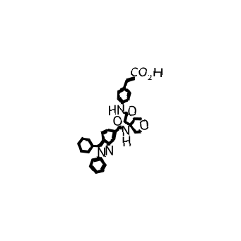 O=C(O)C=Cc1ccc(NC(=O)CC2(NC(=O)c3ccc4c(C5CCCCC5)n(-c5ccccc5)nc4c3)CCOCC2)cc1